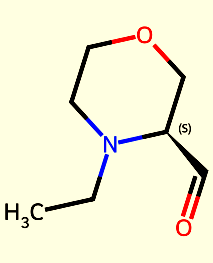 CCN1CCOC[C@H]1C=O